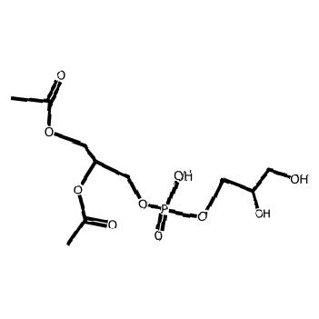 CC(=O)OCC(COP(=O)(O)OCC(O)CO)OC(C)=O